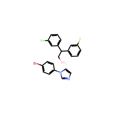 BCC(c1cccc(F)c1)c1cccc(F)c1.Brc1ccc(-n2ccnc2)cc1